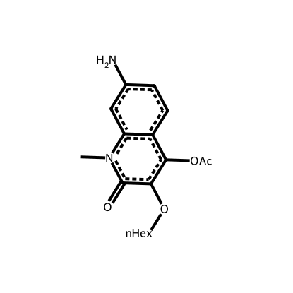 CCCCCCOc1c(OC(C)=O)c2ccc(N)cc2n(C)c1=O